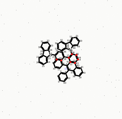 c1ccc(/C(=C(\c2ccccc2)c2ccccc2-c2ccc(-n3c4ccccc4c4ccccc43)cc2)c2ccccc2-c2ccc(-n3c4ccccc4c4ccccc43)cc2)cc1